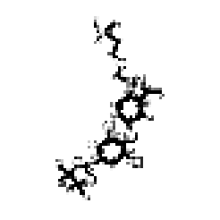 Cc1nn(COCC[Si](C)(C)C)c2ccc(Oc3c(Cl)cc(B4OC(C)(C)C(C)(C)O4)cc3Cl)cc12